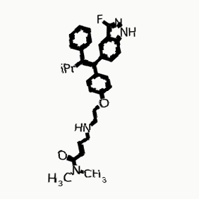 CC(C)C(=C(c1ccc(OCCNCC=CC(=O)N(C)C)cc1)c1ccc2[nH]nc(F)c2c1)c1ccccc1